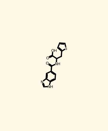 O=C(NC(Cc1cccs1)C(=O)O)c1ccc2[nH]cnc2c1